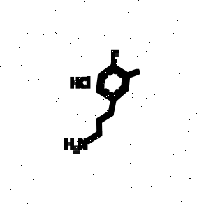 Cc1cc(CCCN)ccc1F.Cl